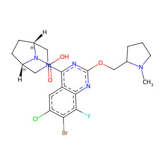 CN1CCCC1COc1nc(N2C[C@H]3CC[C@@H](C2)N3C(=O)O)c2cc(Cl)c(Br)c(F)c2n1